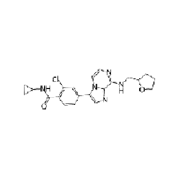 O=C(NC1CC1)c1ccc(-c2cnc3c(NCC4CCCO4)nccn23)cc1Cl